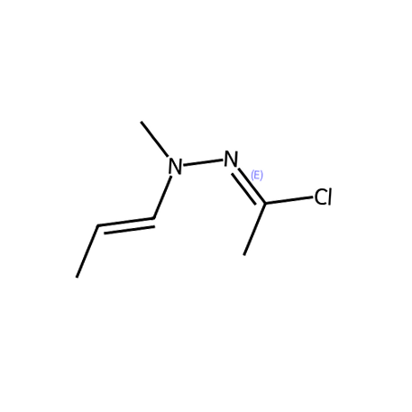 CC=CN(C)/N=C(\C)Cl